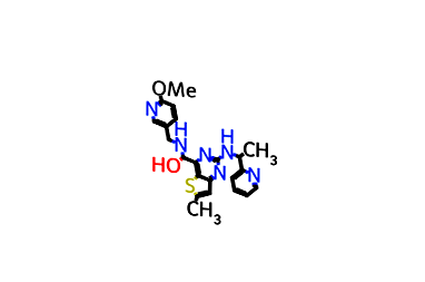 COc1ccc(CNC(O)c2nc(NC(C)c3ccccn3)nc3cc(C)sc23)cn1